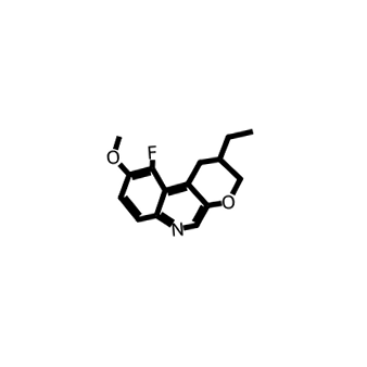 CCC1COc2cnc3ccc(OC)c(F)c3c2C1